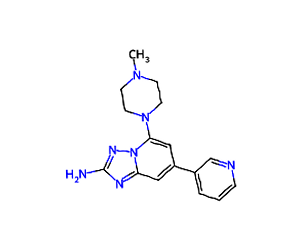 CN1CCN(c2cc(-c3cccnc3)cc3nc(N)nn23)CC1